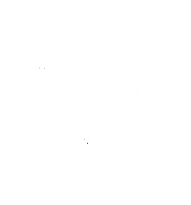 COCc1cnccc1C=O